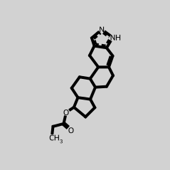 CCC(=O)OC1CCC2C1CCC1C3Cc4cn[nH]c4C=C3CCC12